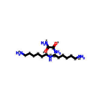 NC(=O)C(N)=O.NCCCCCCNCCCCCCN